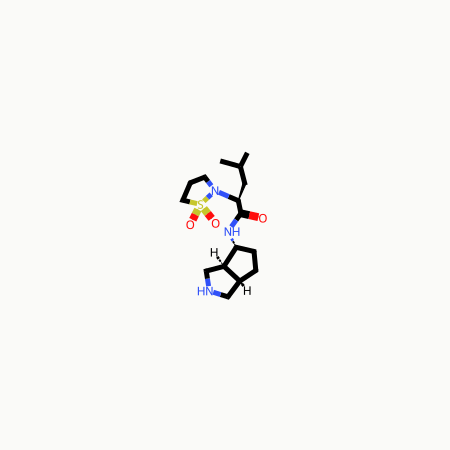 CC(C)C[C@@H](C(=O)N[C@@H]1CC[C@H]2CNC[C@H]21)N1CCCS1(=O)=O